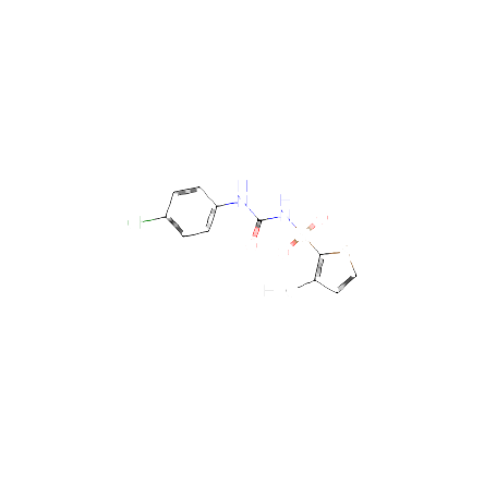 Cc1ccsc1S(=O)(=O)NC(=O)Nc1ccc(Cl)cc1